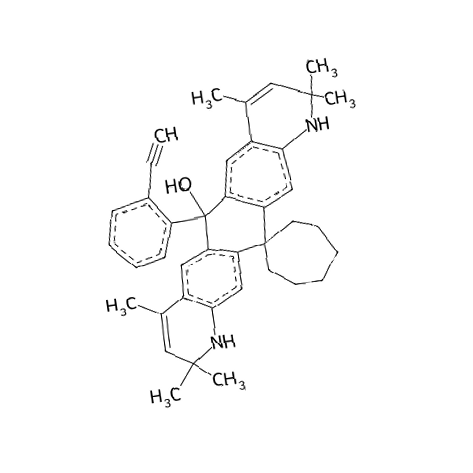 C#Cc1ccccc1C1(O)c2cc3c(cc2C2(CCCCCC2)c2cc4c(cc21)C(C)=CC(C)(C)N4)NC(C)(C)C=C3C